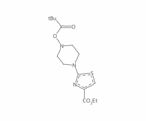 CCOC(=O)c1csc(N2CCN(OC(=O)C(C)(C)C)CC2)n1